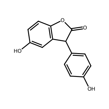 O=C1Oc2ccc(O)cc2C1c1ccc(O)cc1